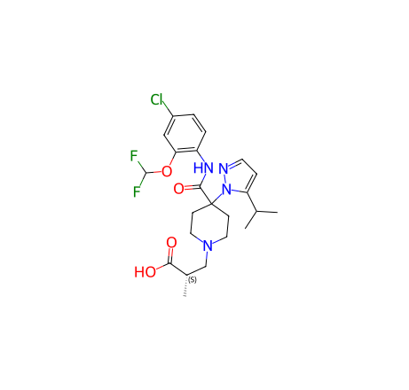 CC(C)c1ccnn1C1(C(=O)Nc2ccc(Cl)cc2OC(F)F)CCN(C[C@H](C)C(=O)O)CC1